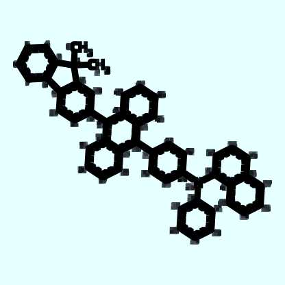 CC1(C)c2ccccc2-c2ccc(-c3c4ccccc4c(-c4ccc(N(c5ccccc5)c5cccc6ccccc56)cc4)c4ccccc34)cc21